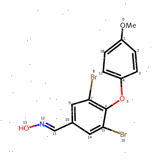 COc1ccc(Oc2c(Br)cc(C=NO)cc2Br)cc1